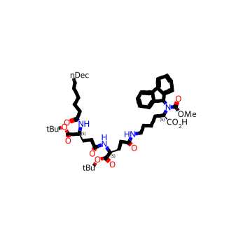 CCCCCCCCCCCCCCCC(=O)N[C@@H](CCC(=O)N[C@@H](CCC(=O)NCCCC[C@@H](C(=O)O)N(C(=O)OC)C1c2ccccc2-c2ccccc21)C(=O)OC(C)(C)C)C(=O)OC(C)(C)C